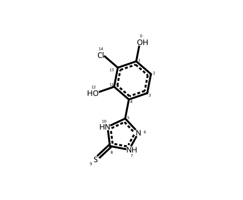 Oc1ccc(-c2n[nH]c(=S)[nH]2)c(O)c1Cl